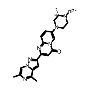 CCCN1CCN(c2ccc3nc(-c4cc5c(C)nc(C)cn5n4)cc(=O)n3c2)C[C@@H]1C